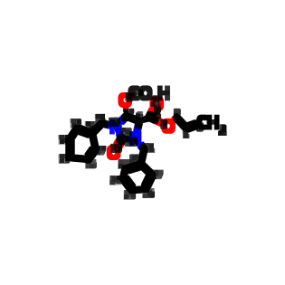 C=CCOC(=O)[C@@H]1[C@@H](OC(=O)O)N(Cc2ccccc2)C(=O)N1Cc1ccccc1